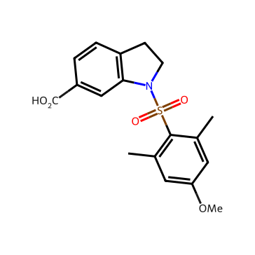 COc1cc(C)c(S(=O)(=O)N2CCc3ccc(C(=O)O)cc32)c(C)c1